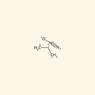 CCC.N#[N+][O-]